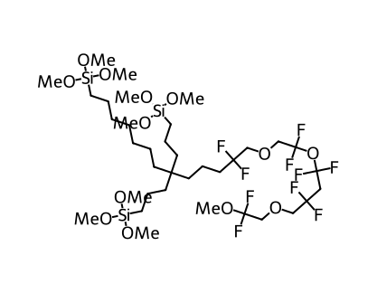 COC(F)(F)COCC(F)(F)CC(F)(F)OC(F)(F)COCC(F)(F)CCCC(CCCCCCC[Si](OC)(OC)OC)(CCC[Si](OC)(OC)OC)CCC[Si](OC)(OC)OC